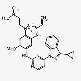 C=CC(=O)Nc1cc(Nc2nccc(-n3nc(C4CC4)c4ccccc43)n2)c(OC)cc1N(C)CCN(C)C